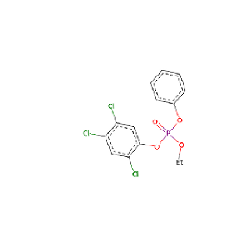 CCOP(=O)(Oc1ccccc1)Oc1cc(Cl)c(Cl)cc1Cl